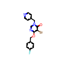 O=c1c(Br)c(OCc2ccc(F)cc2)ncn1Cc1ccncc1